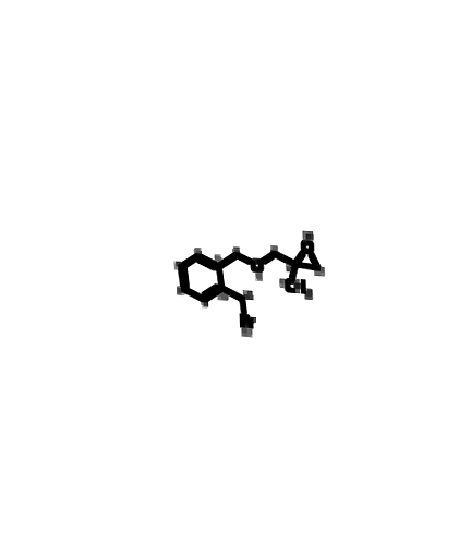 CC1(COCc2ccccc2CBr)CO1